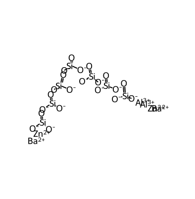 O=[Si]([O-])[O-].O=[Si]([O-])[O-].O=[Si]([O-])[O-].O=[Si]([O-])[O-].O=[Si]([O-])[O-].O=[Si]([O-])[O-].O=[Si]([O-])[O-].[Al+3].[Al+3].[Ba+2].[Ba+2].[Zn+2].[Zn+2]